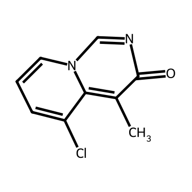 Cc1c(=O)ncn2cccc(Cl)c12